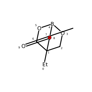 CCC12COB(OC1)OC2=O